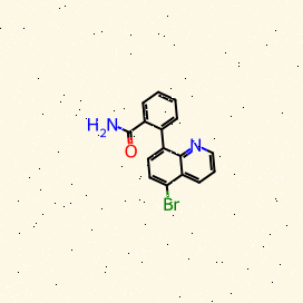 NC(=O)c1ccccc1-c1ccc(Br)c2cccnc12